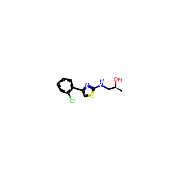 C[C@H](O)CNc1nc(-c2ccccc2Cl)cs1